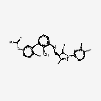 CC1=NN(c2ccc(C)c(C)c2)C(=O)C1=NNc1cccc(-c2cc(OC(=O)O)ccc2F)c1O